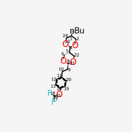 CCCC[C@H]1CO[C@H]([C@H]2CO[C@H](CCc3ccc(OC(F)F)cc3)OC2)OC1